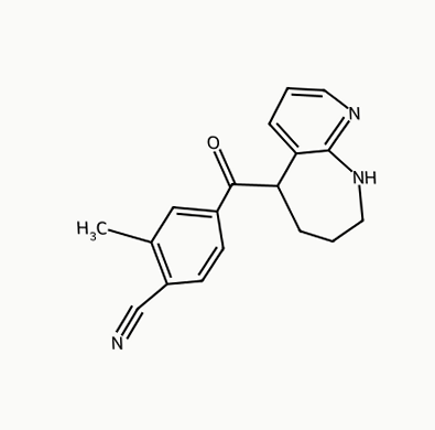 Cc1cc(C(=O)C2CCCNc3ncccc32)ccc1C#N